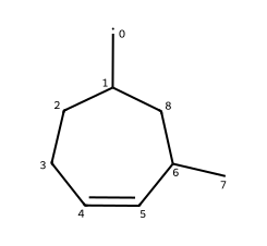 [CH2]C1CCC=CC(C)C1